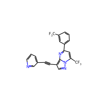 FC(F)(F)c1cccc(-c2cc(C(F)(F)F)n3ncc(C#Cc4cccnc4)c3n2)c1